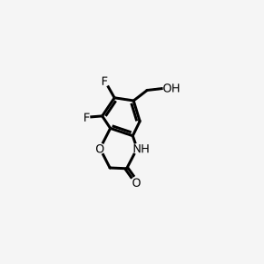 O=C1COc2c(cc(CO)c(F)c2F)N1